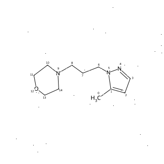 Cc1ccnn1CCCN1CCOCC1